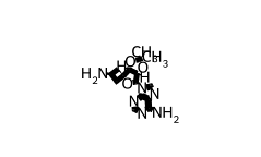 CC1(C)O[C@H]2[C@H](n3cnc4c(N)ncnc43)O[C@]3(C[C@H](N)C3)[C@H]2O1